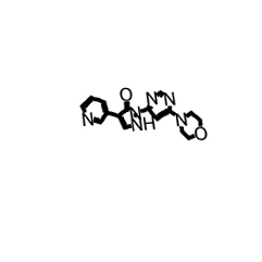 O=c1c(-c2cccnc2)c[nH]n1-c1cc(N2CCOCC2)ncn1